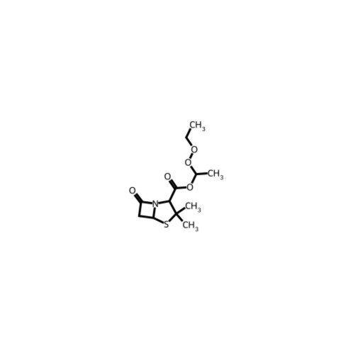 CCOOC(C)OC(=O)C1N2C(=O)CC2SC1(C)C